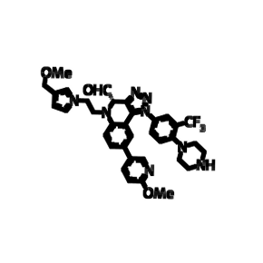 COCc1ccn(CCN2c3ccc(-c4ccc(OC)nc4)cc3-c3c(nnn3-c3ccc(N4CCNCC4)c(C(F)(F)F)c3)[C@H]2C=O)c1